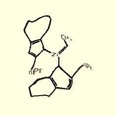 C[CH]=[Zr]([CH]1C(CCC)=CC2=C1CCCC2)[CH]1C(CCC)=CC2=C1CCCC2